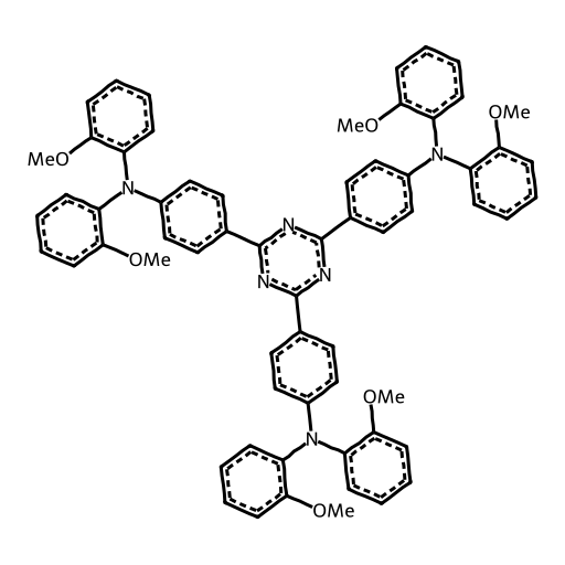 COc1ccccc1N(c1ccc(-c2nc(-c3ccc(N(c4ccccc4OC)c4ccccc4OC)cc3)nc(-c3ccc(N(c4ccccc4OC)c4ccccc4OC)cc3)n2)cc1)c1ccccc1OC